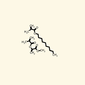 C=C(C)C(=O)OC(=C)C(=O)OC.C=C(C)C(=O)OCCCCCCCCCC